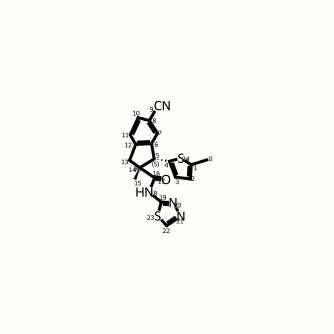 Cc1ccc([C@H]2c3cc(C#N)ccc3C[C@@]2(C)C(=O)Nc2nncs2)s1